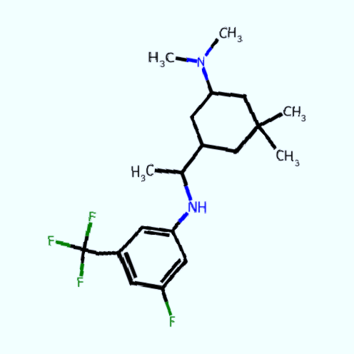 CC(Nc1cc(F)cc(C(F)(F)F)c1)C1CC(N(C)C)CC(C)(C)C1